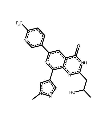 CC(O)Cc1nc2c(-c3cnn(C)c3)nc(-c3ccc(C(F)(F)F)nc3)cc2c(=O)[nH]1